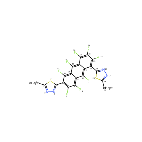 CCCCCCCc1nnc(-c2c(F)c(F)c3c(F)c4c(-c5nnc(CCCCCCC)s5)c(F)c(F)c(F)c4c(F)c3c2F)s1